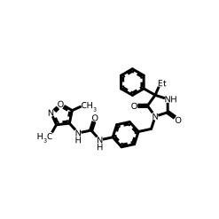 CCC1(c2ccccc2)NC(=O)N(Cc2ccc(NC(=O)Nc3c(C)noc3C)cc2)C1=O